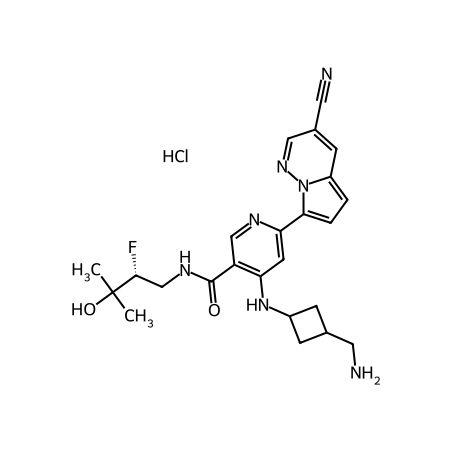 CC(C)(O)[C@H](F)CNC(=O)c1cnc(-c2ccc3cc(C#N)cnn23)cc1NC1CC(CN)C1.Cl